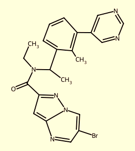 CCN(C(=O)c1cc2ncc(Br)cn2n1)C(C)c1cccc(-c2cncnc2)c1C